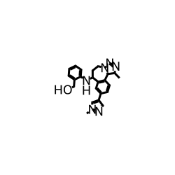 CC1N=NN2CCC(Nc3ccccc3CO)c3cc(-c4cnn(C)c4)ccc3C12